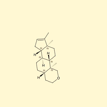 CC1=CC[C@H]2[C@@H]3CC[C@H]4CCOC[C@]4(C)[C@H]3CC[C@]12C